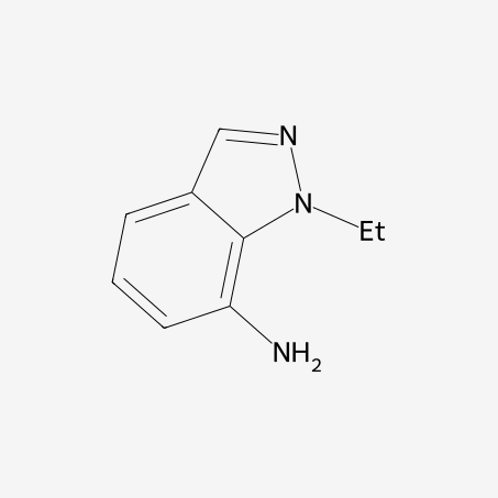 CCn1ncc2cccc(N)c21